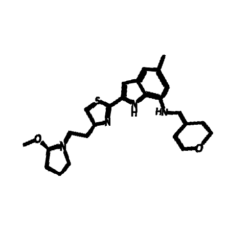 CO[C@@H]1CCCN1CC[C@H]1CSC(c2cc3cc(C)cc(NCC4CCOCC4)c3[nH]2)=N1